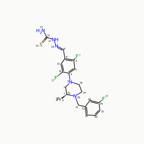 CC(C)[C@H]1CN(c2cc(F)c(C=NNC(N)=S)cc2F)CCN1Cc1cccc(F)c1